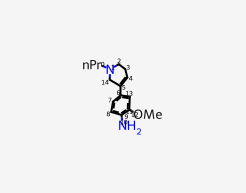 CCCN1CCC=C(c2ccc(N)c(OC)c2)C1